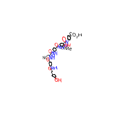 COc1c(NC(=O)c2ccc(NC(=O)[C@H](CC#N)NC(=O)c3ccc(NC(=O)/C=C/c4ccc(O)cc4)cc3)cc2)ccc(C(=O)Nc2ccc(C(=O)O)cc2)c1O